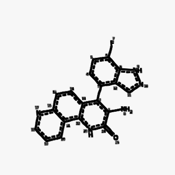 Nc1c(-c2ccc(F)c3[nH]ncc23)c2ccc3ncccc3c2[nH]c1=O